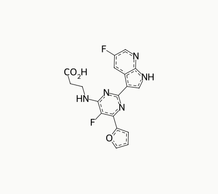 O=C(O)CCNc1nc(-c2c[nH]c3ncc(F)cc23)nc(-c2ccco2)c1F